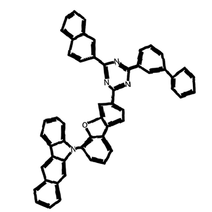 c1ccc(-c2cccc(-c3nc(-c4ccc5ccccc5c4)nc(-c4ccc5c(c4)oc4c(-n6c7ccccc7c7cc8ccccc8cc76)cccc45)n3)c2)cc1